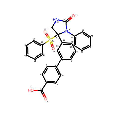 O=C(O)c1ccc(-c2cccc(C3(S(=O)(=O)c4ccccc4)CNC(=O)N3c3ccccc3)c2)cc1